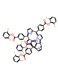 O=C(Oc1c(F)cccc1F)c1ccc(/C2=C3\C=CC(=N3)/C(c3ccc(C(=O)Oc4c(F)cccc4F)cc3)=c3/cc/c4n3Nn3c2ccc3/C(c2ccc(C(=O)Oc3c(F)cccc3F)cc2)=C2/C=CC(=N2)/C=4c2ccc(C(=O)Oc3c(F)cccc3F)cc2)cc1